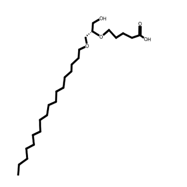 CCCCCCCCCCCCCCCCCCOC[C@H](CO)OCCCCC(=O)O